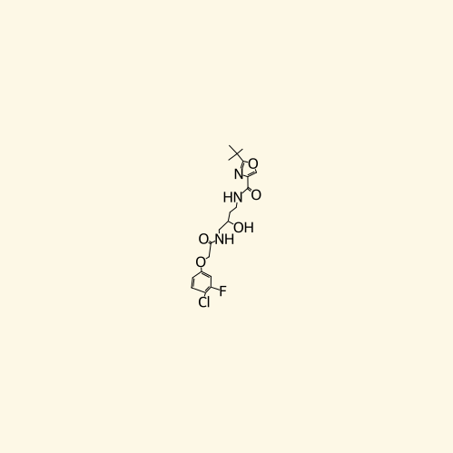 CC(C)(C)c1nc(C(=O)NCCC(O)CNC(=O)COc2ccc(Cl)c(F)c2)co1